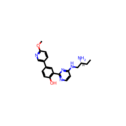 CC[C@@H](N)CNc1ccnc(-c2cc(-c3ccc(OC)nc3)ccc2O)n1